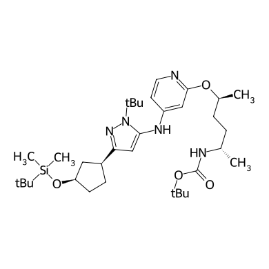 C[C@@H](CC[C@H](C)Oc1cc(Nc2cc([C@H]3CC[C@@H](O[Si](C)(C)C(C)(C)C)C3)nn2C(C)(C)C)ccn1)NC(=O)OC(C)(C)C